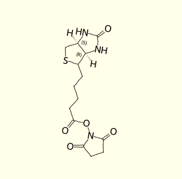 O=C1N[C@@H]2CSC(CCCCC(=O)ON3C(=O)CCC3=O)[C@@H]2N1